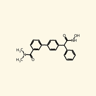 CN(C)C(=O)c1cccc(-c2ccc(C(C(=O)NO)c3ccccc3)cc2)c1